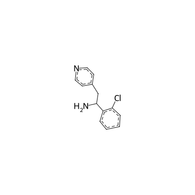 NC(Cc1ccncc1)c1ccccc1Cl